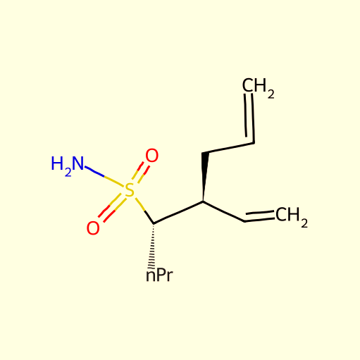 C=CC[C@@H](C=C)[C@H](CCC)S(N)(=O)=O